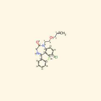 C=CCOCCN1C(=O)CN=C(c2ccccc2F)c2cc(Cl)ccc21